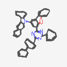 c1ccc(-c2ccc(-c3nc(-c4ccccc4)nc(-c4cc(-n5c6ccccc6c6cc7ccccc7cc65)cc5c4oc4ccccc45)n3)cc2)cc1